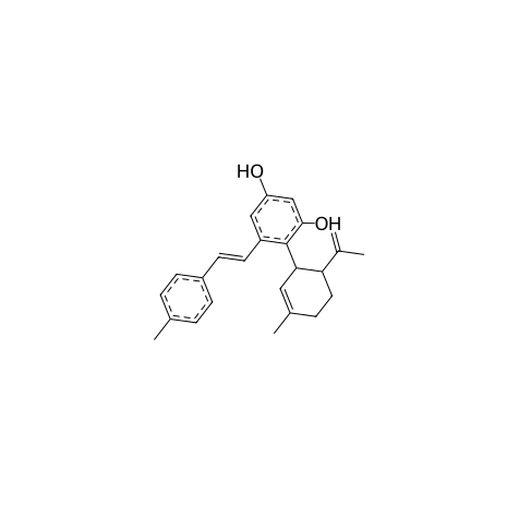 C=C(C)C1CCC(C)=CC1c1c(O)cc(O)cc1/C=C/c1ccc(C)cc1